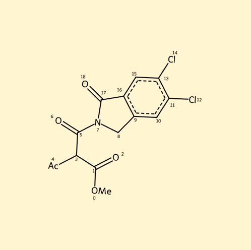 COC(=O)C(C(C)=O)C(=O)N1Cc2cc(Cl)c(Cl)cc2C1=O